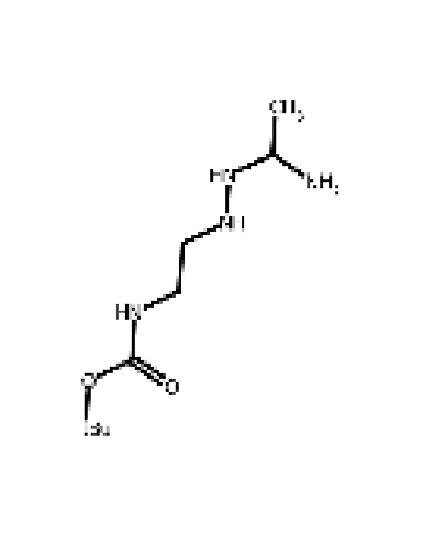 CC(N)NNCCNC(=O)OC(C)(C)C